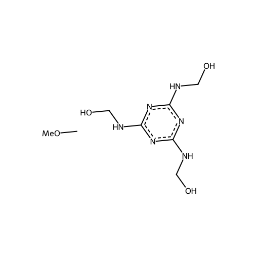 COC.OCNc1nc(NCO)nc(NCO)n1